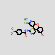 Cl.O=C(NC1=NCCC2(S1)c1cc(Br)ccc1Oc1cnc(Cl)cc12)c1ccc([N+](=O)[O-])cc1